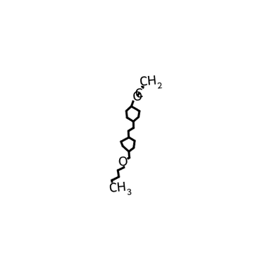 C=CCOCC1CCC(CCC2CCC(COCCCCC)CC2)CC1